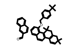 CC1(C)C=CC2=C(C1)CC(C)(C)c1c2ccc2cccc(OCc3ccc(C(C)(C)C)cc3)c12.O=Cc1ccc2ccccc2c1